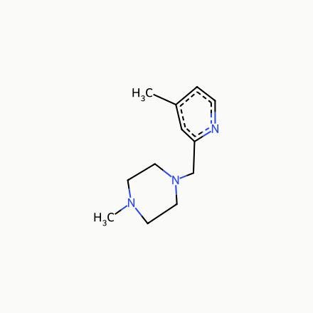 Cc1ccnc(CN2CCN(C)CC2)c1